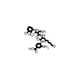 C/C(Nc1cccc(Cl)c1F)=C(/C=N)C(=O)NC(CCCCCC=O)C(=O)Nc1ccc(C(=O)O)cc1N